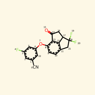 N#Cc1cc(F)cc(Oc2ccc3c4c2C(=O)CC4C(F)(F)C3)c1